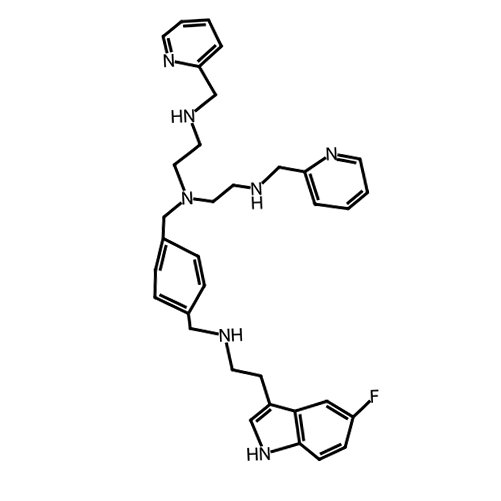 Fc1ccc2[nH]cc(CCNCc3ccc(CN(CCNCc4ccccn4)CCNCc4ccccn4)cc3)c2c1